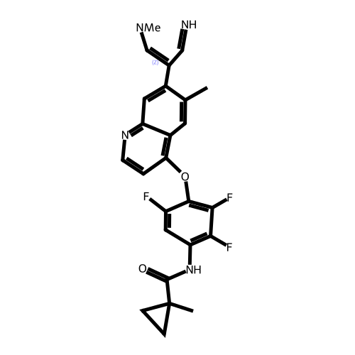 CN/C=C(\C=N)c1cc2nccc(Oc3c(F)cc(NC(=O)C4(C)CC4)c(F)c3F)c2cc1C